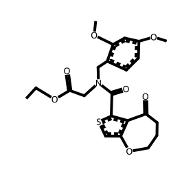 CCOC(=O)CN(Cc1ccc(OC)cc1OC)C(=O)c1scc2c1C(=O)CCCO2